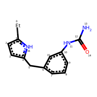 CCc1ccc(Cc2cccc(NC(N)=O)c2)[nH]1